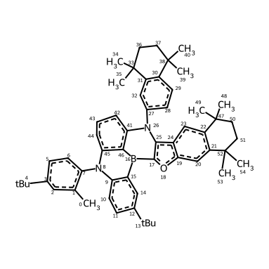 Cc1cc(C(C)(C)C)ccc1N1c2ccc(C(C)(C)C)cc2B2c3oc4cc5c(cc4c3N(c3ccc4c(c3)C(C)(C)CCC4(C)C)c3cccc1c32)C(C)(C)CCC5(C)C